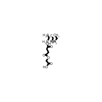 CCN.CCN.CCN.O=C(O)CCC(=O)OCC(=O)O